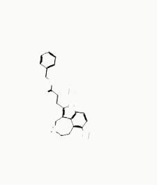 CN1CCc2c(Cl)ccc3oc(CCC(=O)OCc4ccccc4)c(c23)C1.Cl